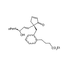 CCCCC[C@H](O)/C=C/[C@]1(Cc2ccccc2CCCC(=O)OCC)CC=CC1=O